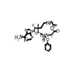 CC(C)OC(=O)[C@H](C)NP(=O)(OC[C@H]1O[C@@H](n2cnc3c(N)ncnc32)C(F)C1(C)CCN)Oc1ccccc1